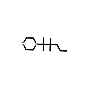 CCCC(C)(C)C(C)(C)N1CCOCC1